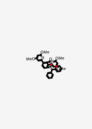 COc1cc(OC)nc(-c2ccc3c(-c4cc(OC)cc(OC)n4)c2C(=O)ON3C(c2ccccc2)c2ccccc2)c1